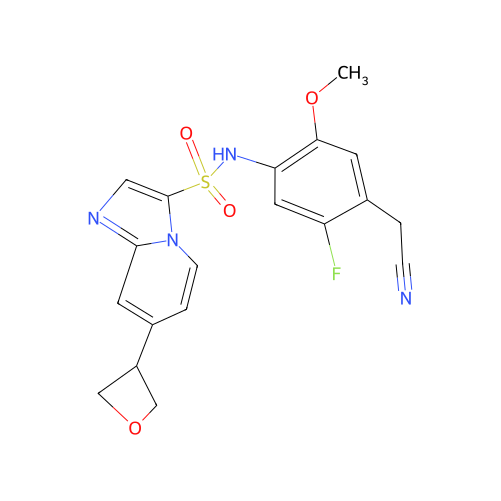 COc1cc(CC#N)c(F)cc1NS(=O)(=O)c1cnc2cc(C3COC3)ccn12